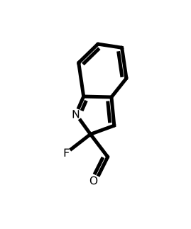 O=CC1(F)C=c2ccccc2=N1